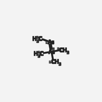 C[As]=[As](C)(C)C